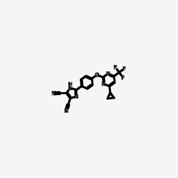 N#Cc1nc(-c2ccc(Oc3nc(C4CC4)cc(C(F)(F)F)n3)cc2)[nH]c1C#N